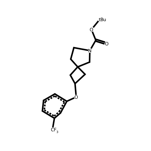 CC(C)(C)OC(=O)N1CCC2(CC(Oc3cccc(C(F)(F)F)c3)C2)C1